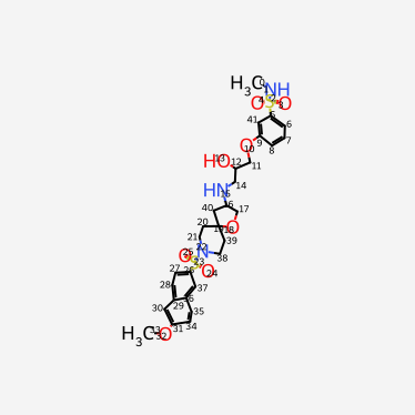 CNS(=O)(=O)c1cccc(OCC(O)CNC2COC3(CCN(S(=O)(=O)c4ccc5cc(OC)ccc5c4)CC3)C2)c1